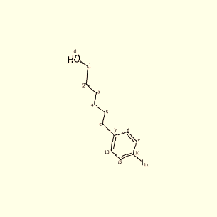 OCCCCCCc1ccc(I)cc1